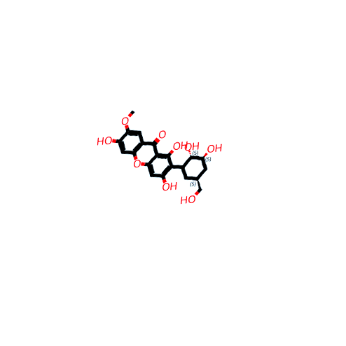 COc1cc2c(=O)c3c(O)c(C4C[C@H](CO)C[C@H](O)[C@H]4O)c(O)cc3oc2cc1O